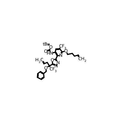 C=CCCCOc1nc(-c2nnc(C(CC=C)(OCc3ccccc3)C(F)(F)F)o2)c(NC(=O)OC(C)(C)C)cc1C(F)(F)F